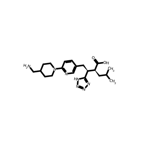 CC(C)C[C@H](C(=O)O)[C@H](Cc1ccc(N2CCC(CN)CC2)nc1)c1nnn[nH]1